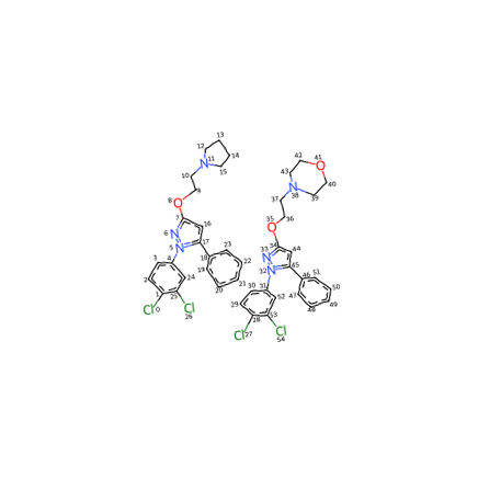 Clc1ccc(-n2nc(OCCN3CCCC3)cc2-c2ccccc2)cc1Cl.Clc1ccc(-n2nc(OCCN3CCOCC3)cc2-c2ccccc2)cc1Cl